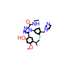 CCNC(=O)c1nnc(-c2cc(C(C)C)c(OC)cc2O)n1-c1ccc(Cn2ccnc2)c(F)c1